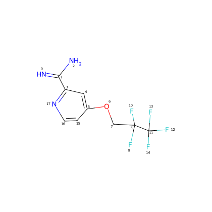 N=C(N)c1cc(OCC(F)(F)C(F)(F)F)ccn1